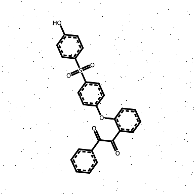 O=C(C(=O)c1ccccc1Oc1ccc(S(=O)(=O)c2ccc(O)cc2)cc1)c1ccccc1